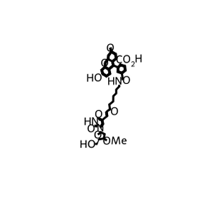 COC1C[C@H](n2cc(/C=C/C(=O)CCCCCCNC(=O)c3ccc(C(=O)O)c(-c4c5ccc(=O)cc-5oc5cc(O)ccc45)c3)c(=O)[nH]c2=O)O[C@@H]1CO